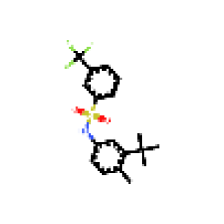 Cc1ccc(NS(=O)(=O)c2cccc(C(F)(F)F)c2)cc1C(C)(C)C